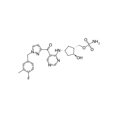 Cc1cc(Cn2ccc(C(=O)c3cncnc3N[C@@H]3C[C@H](COS(N)(=O)=O)[C@@H](O)C3)n2)ccc1F